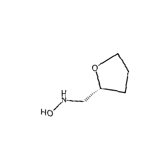 ONC[C@H]1CCCO1